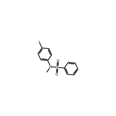 CN(c1ccc(I)cc1)S(=O)(=O)c1ccccc1